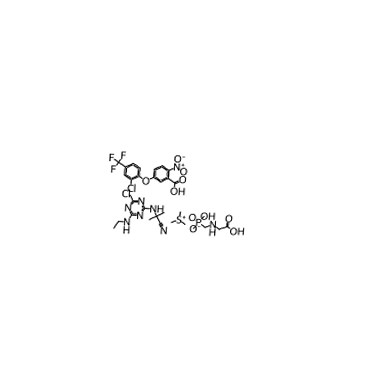 CCNc1nc(Cl)nc(NC(C)(C)C#N)n1.C[S+](C)C.O=C(O)CNCP(=O)([O-])O.O=C(O)c1cc(Oc2ccc(C(F)(F)F)cc2Cl)ccc1[N+](=O)[O-]